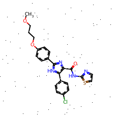 COCCCOc1ccc(-c2nc(C(=O)Nc3nccs3)c(-c3ccc(Cl)cc3)[nH]2)cc1